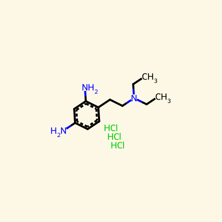 CCN(CC)CCc1ccc(N)cc1N.Cl.Cl.Cl